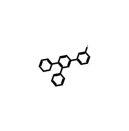 Ic1cccc(-c2ccc(C3=CC=CCC3)c(-c3ccccc3)c2)c1